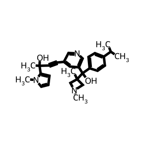 CC(C)c1ccc(C(O)(c2cncc(C#CC(C)(O)c3cccn3C)c2)C2(C)CN(C)C2)cc1